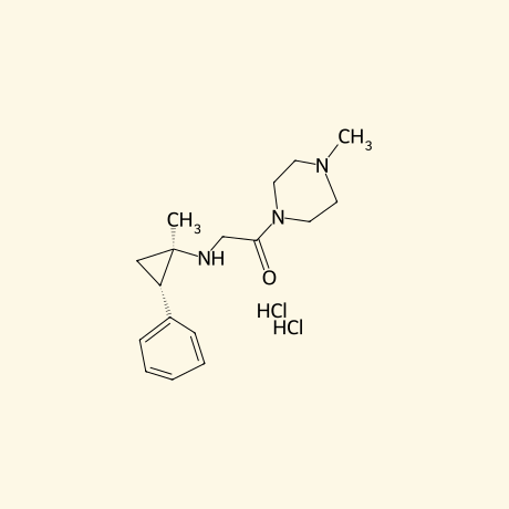 CN1CCN(C(=O)CN[C@]2(C)C[C@H]2c2ccccc2)CC1.Cl.Cl